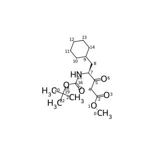 COC(=O)CC(=O)[C@H](CC1CCCCC1)NC(=O)OC(C)(C)C